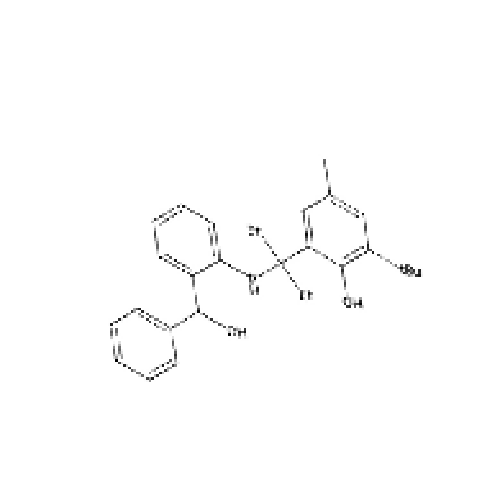 CCC(CC)(Pc1ccccc1C(O)c1ccccc1)c1cc(C)cc(C(C)(C)C)c1O